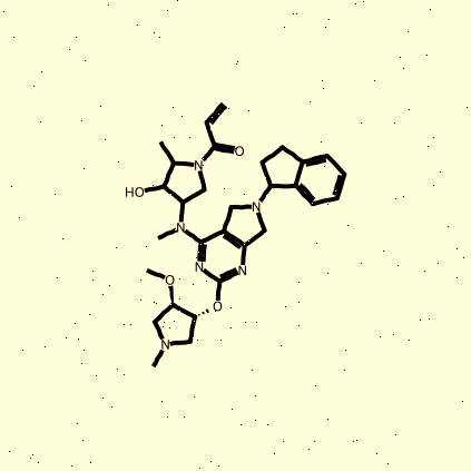 C=CC(=O)N1CC(N(C)c2nc(O[C@@H]3CN(C)C[C@H]3OC)nc3c2CN(C2CCc4ccccc42)C3)C(O)C1C